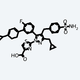 NS(=O)(=O)c1ccc(Cc2c(CC3CC3)nn(-c3nc(C(=O)O)cs3)c2-c2ccc(F)c(C3=CC=C(C4CC4)CC3)c2)cc1